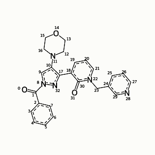 O=C(c1ccccc1)n1cc(N2CCOCC2)c(-c2cccn(Cc3cccnc3)c2=O)n1